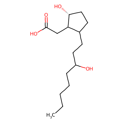 CCCCCC(O)CCC1CC[C@@H](O)C1CC(=O)O